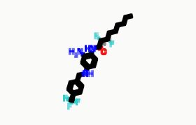 CCCCCC[C@H](F)[C@H](F)C(=O)Nc1ccc(NCc2ccc(C(F)(F)F)cc2)cc1N